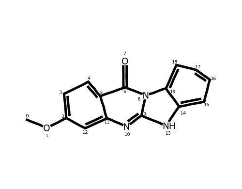 COc1ccc2c(=O)n3c(nc2c1)[nH]c1ccccc13